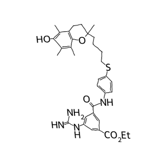 CCOC(=O)c1cc(NC(=N)N)cc(C(=O)Nc2ccc(SCCCCC3(C)CCc4c(C)c(O)c(C)c(C)c4O3)cc2)c1